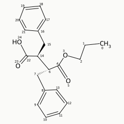 CCCOC(=O)[C@H](Cc1ccccc1)[C@H](Cc1ccccc1)C(=O)O